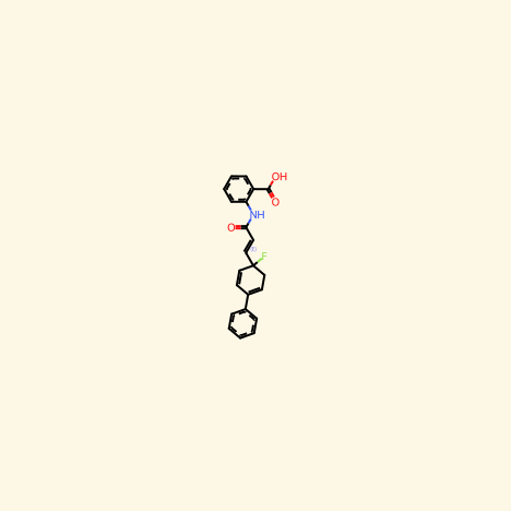 O=C(/C=C/C1(F)C=CC(c2ccccc2)=CC1)Nc1ccccc1C(=O)O